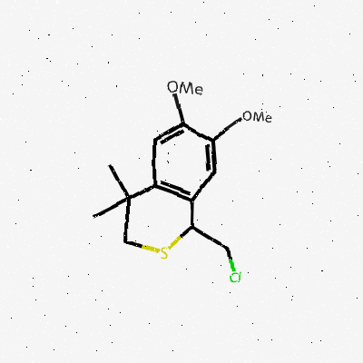 COc1cc2c(cc1OC)C(C)(C)CSC2CCl